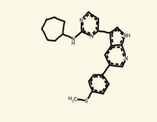 CSc1ccc(-c2cnc3[nH]cc(-c4ccnc(NC5CCCCCC5)n4)c3c2)cc1